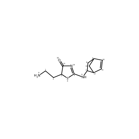 NCCC1SC(NC2CC3C=CC2C3)=NC1=O